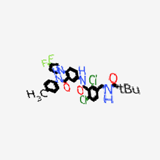 Cc1ccc(NC(=O)c2cc(NC(=O)c3c(Cl)ccc(CNC(=O)C(C)(C)C)c3Cl)ccc2N2CCC(F)(F)C2)cc1